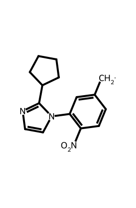 [CH2]c1ccc([N+](=O)[O-])c(-n2ccnc2C2CCCC2)c1